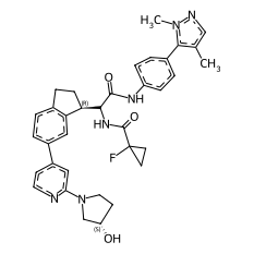 Cc1cnn(C)c1-c1ccc(NC(=O)C(NC(=O)C2(F)CC2)[C@@H]2CCc3ccc(-c4ccnc(N5CC[C@H](O)C5)c4)cc32)cc1